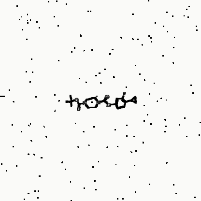 CC(C)(C)OC(=O)N1CCN(C(=O)Oc2ccc(C3CC3)c(F)c2)CC1